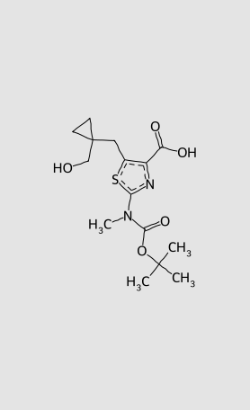 CN(C(=O)OC(C)(C)C)c1nc(C(=O)O)c(CC2(CO)CC2)s1